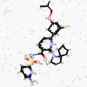 CC(C)COc1cc(F)cc(-c2ccc(C(=O)NS(=O)(=O)c3cccc(N)n3)c(N3CCCC34CCCC4)n2)c1